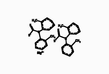 Cc1ccccc1N(C(=S)[S-])c1ccccc1C.Cc1ccccc1N(C(=S)[S-])c1ccccc1C.[Mg+2]